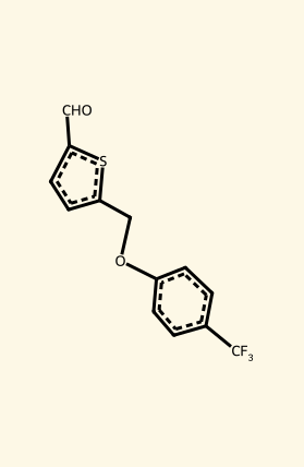 O=Cc1ccc(COc2ccc(C(F)(F)F)cc2)s1